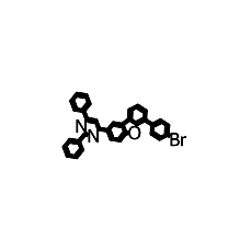 Brc1ccc(-c2cccc3c2oc2ccc(-c4cc(-c5ccccc5)nc(-c5ccccc5)n4)cc23)cc1